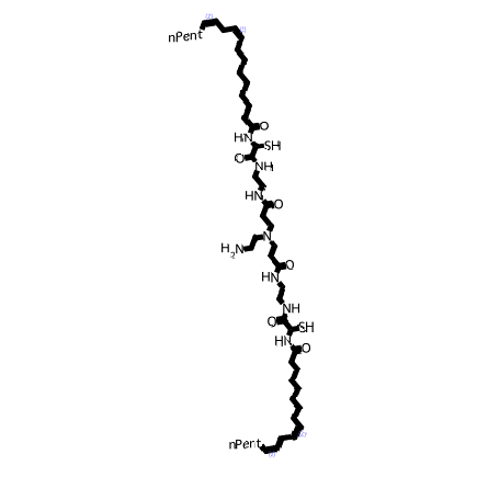 CCCCC/C=C\C/C=C\CCCCCCCC(=O)NC(S)C(=O)NCCNC(=O)CCN(CCN)CCC(=O)NCCNC(=O)C(S)NC(=O)CCCCCCC/C=C\C/C=C\CCCCC